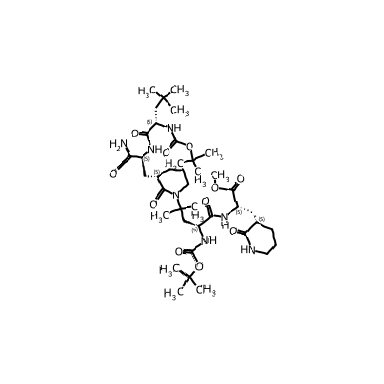 COC(=O)[C@H](C[C@@H]1CCCNC1=O)NC(=O)[C@H](CC(C)(C)N1CCC[C@@H](C[C@H](NC(=O)[C@H](CC(C)(C)C)NC(=O)OC(C)(C)C)C(N)=O)C1=O)NC(=O)OC(C)(C)C